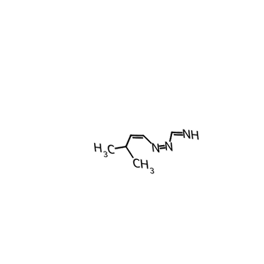 CC(C)/C=C\N=N/C=N